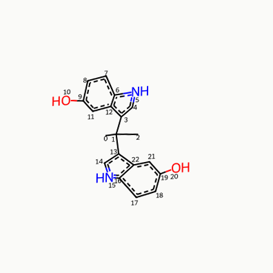 CC(C)(c1c[nH]c2ccc(O)cc12)c1c[nH]c2ccc(O)cc12